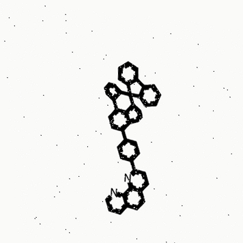 c1ccc2c(c1)-c1ccccc1C21c2ccccc2-c2ccc(-c3ccc(-c4ccc5ccc6cccnc6c5n4)cc3)c3cccc1c23